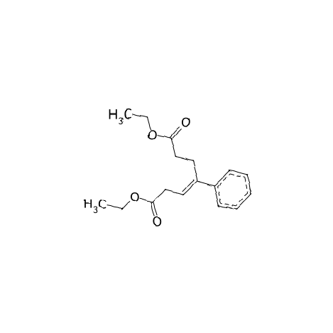 CCOC(=O)CC=C(CCC(=O)OCC)c1ccccc1